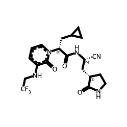 N#C[C@H](C[C@@H]1CCNC1=O)NC(=O)[C@@H](CC1CC1)n1cccc(NCC(F)(F)F)c1=O